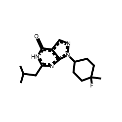 CC(C)Cc1nc2c(cnn2C2CCC(C)(F)CC2)c(=O)[nH]1